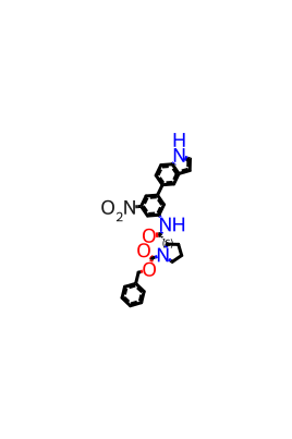 O=C(Nc1cc(-c2ccc3[nH]ccc3c2)cc([N+](=O)[O-])c1)[C@@H]1CCCN1C(=O)OCc1ccccc1